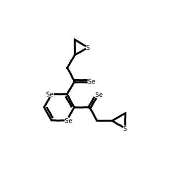 [Se]=C(CC1CS1)C1=C(C(=[Se])CC2CS2)[Se]C=C[Se]1